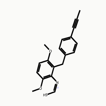 CC#Cc1ccc(Cc2c(OC)ccc(OC)c2/N=C\S)cc1